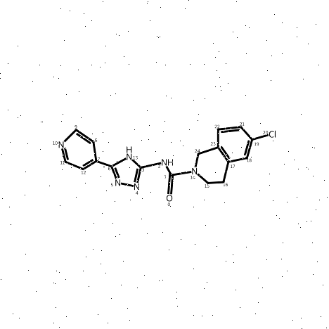 O=C(Nc1nnc(-c2ccncc2)[nH]1)N1CCc2cc(Cl)ccc2C1